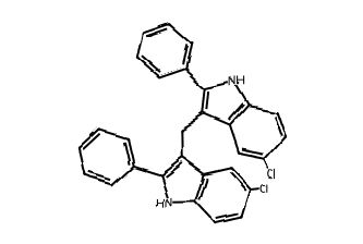 Clc1ccc2[nH]c(-c3ccccc3)c(Cc3c(-c4ccccc4)[nH]c4ccc(Cl)cc34)c2c1